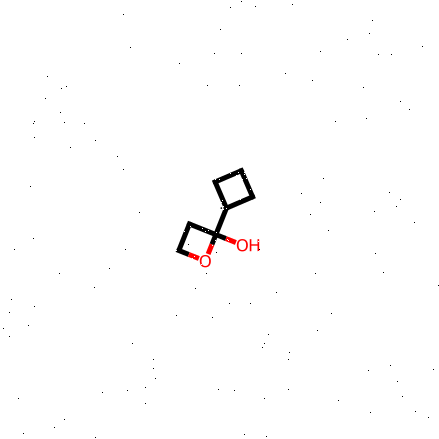 OC1([C]2CCC2)CCO1